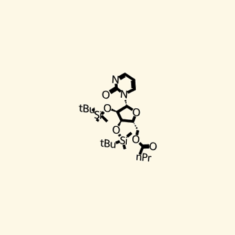 CCCC(=O)OC[C@H]1O[C@@H](n2cccnc2=O)[C@H](O[Si](C)(C)C(C)(C)C)[C@@H]1O[Si](C)(C)C(C)(C)C